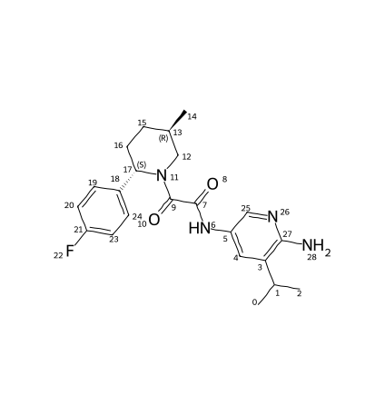 CC(C)c1cc(NC(=O)C(=O)N2C[C@H](C)CC[C@H]2c2ccc(F)cc2)cnc1N